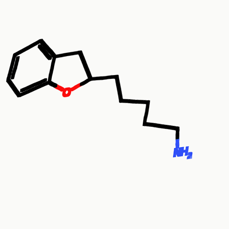 NCCCCCC1Cc2ccccc2O1